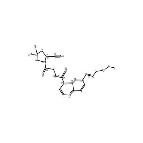 CCOC/C=C/c1ccc2nccc(C(=O)NCC(=O)N3CC(F)(F)C[C@H]3C#N)c2c1